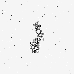 CNC(=O)c1ccccc1Nc1nc(Nc2ccc3c(c2)CCN(OC(=O)N(C)C)CC3)ncc1Cl